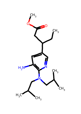 CCC(CC(=O)OC)c1cnc(N(CC(C)C)CC(C)C)c(N)c1